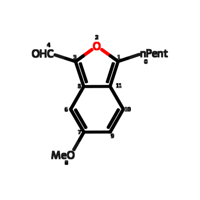 CCCCCc1oc(C=O)c2cc(OC)ccc12